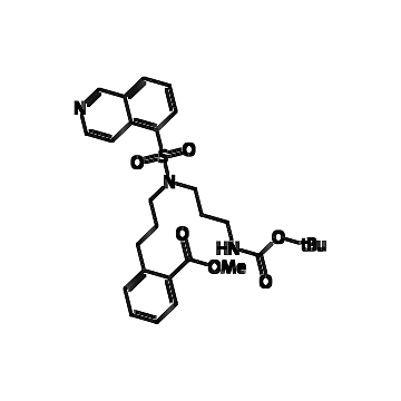 COC(=O)c1ccccc1CCCN(CCCNC(=O)OC(C)(C)C)S(=O)(=O)c1cccc2cnccc12